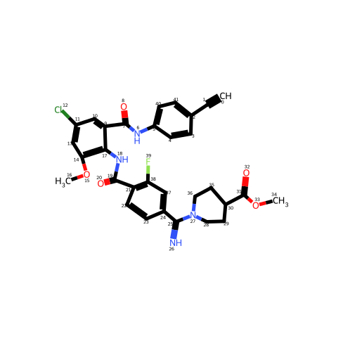 C#Cc1ccc(NC(=O)c2cc(Cl)cc(OC)c2NC(=O)c2ccc(C(=N)N3CCC(C(=O)OC)CC3)cc2F)cc1